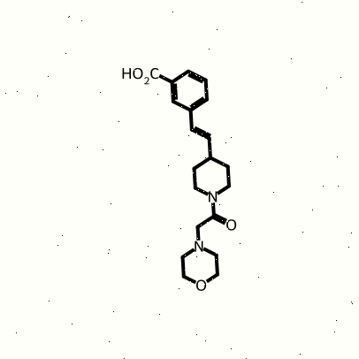 O=C(O)c1cccc(/C=C/C2CCN(C(=O)CN3CCOCC3)CC2)c1